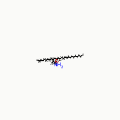 CCCCCCCCC=CCCCCCCCC(CCCCCCCCC)C(C)C(N)=O